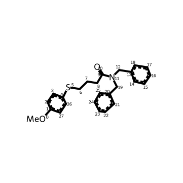 COc1ccc(SCCCC(=O)N(Cc2ccccc2)Cc2ccccc2)cc1